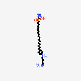 C[N+](C)(C)C/C(O)=[P+](\[O-])CCCCCCCCCCCCCCCCCCc1ccc(NCCCCN)cc1